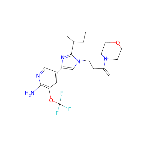 C=C(CCn1cc(-c2cnc(N)c(OC(F)(F)F)c2)nc1C(C)CC)N1CCOCC1